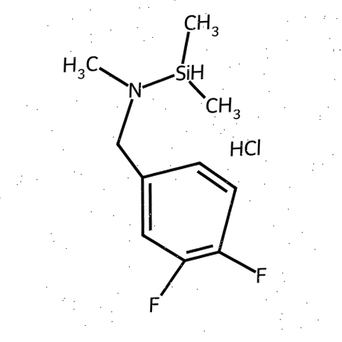 CN(Cc1ccc(F)c(F)c1)[SiH](C)C.Cl